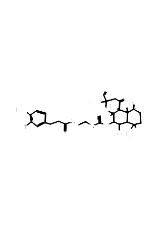 C=CC1(C)CC(=O)C2(O)C(C)(O1)C(OC(=O)NCCNC(=O)CCc1ccc(O)c([125I])c1)C(O)C1C(C)(C)CCC(O)C12C